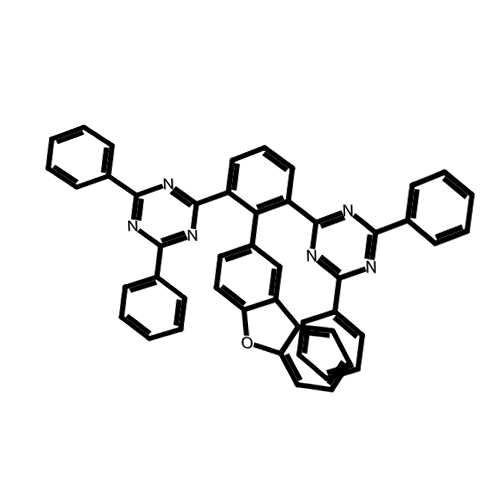 c1ccc(-c2nc(-c3ccccc3)nc(-c3cccc(-c4nc(-c5ccccc5)nc(-c5ccccc5)n4)c3-c3ccc4oc5ccccc5c4c3)n2)cc1